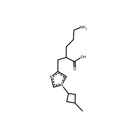 CC1CC(n2cnc(CC(CCCN)C(=O)O)c2)C1